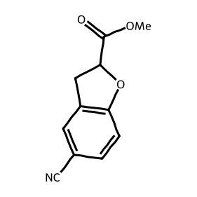 COC(=O)C1Cc2cc(C#N)ccc2O1